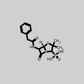 CC1(C)S[C@H]2C(NC(=O)Cc3ccccc3)C(=O)N2C1P(=O)(O)O